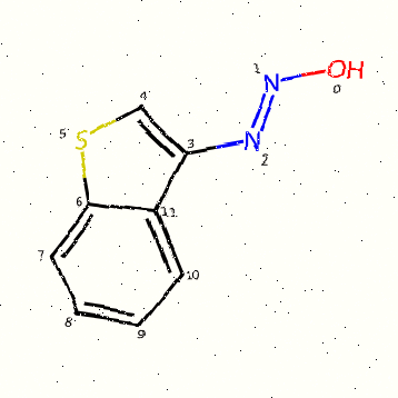 ON=Nc1csc2ccccc12